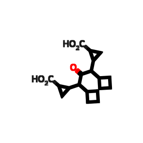 O=C(O)C1CC1C(C(=O)C(C1CCC1)C1CC1C(=O)O)C1CCC1